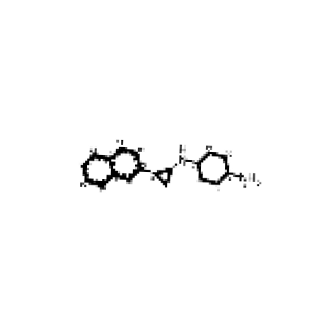 N[C@H]1CC[C@@H](N[C@@H]2C[C@H]2c2ccc3ccccc3c2)CC1